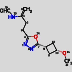 C=C(CCc1nnc([C@H]2C[C@@H](OC(F)(F)F)C2)o1)NC=O